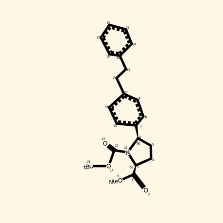 COC(=O)[C@@H]1CC[C@H](c2ccc(CCc3ccccc3)cc2)N1C(=O)OC(C)(C)C